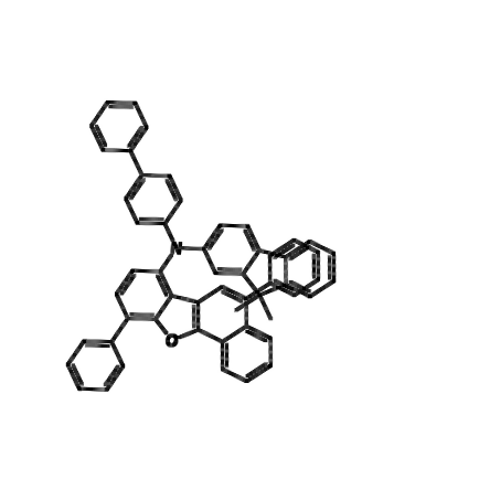 CC1(C)c2ccccc2-c2ccc(N(c3ccc(-c4ccccc4)cc3)c3ccc(-c4ccccc4)c4oc5c6ccccc6c(-c6ccccc6)cc5c34)cc21